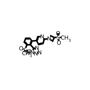 CS(=O)(=O)c1cccc(-c2ccc(N3CC(S(C)(=O)=O)C3)nc2)c1-c1nnn[nH]1